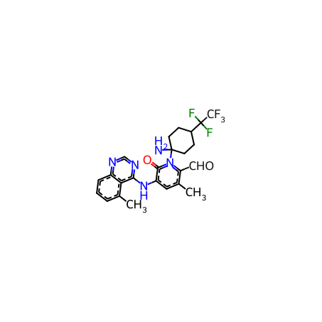 Cc1cc(Nc2ncnc3cccc(C)c23)c(=O)n(C2(N)CCC(C(F)(F)C(F)(F)F)CC2)c1C=O